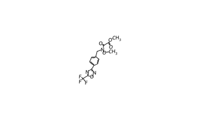 COC(=O)C(=O)N(Cc1ccc(-c2noc(C(F)(F)F)n2)cc1)OC